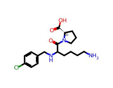 NCCCCC(NCc1ccc(Cl)cc1)C(=O)N1CCC[C@H]1C(=O)O